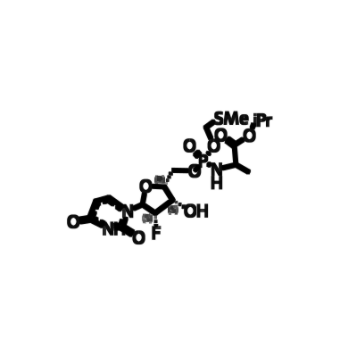 CSCOP(=O)(NC(C)C(=O)OC(C)C)OC[C@H]1OC(n2ccc(=O)[nH]c2=O)[C@@H](F)[C@H]1O